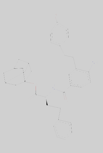 Nc1ccc(C(=O)N[C@@H](CCc2ccccc2)C(=O)OC23CC4CC(CC(C4)C2)C3)cc1CCc1ccc(O)cc1